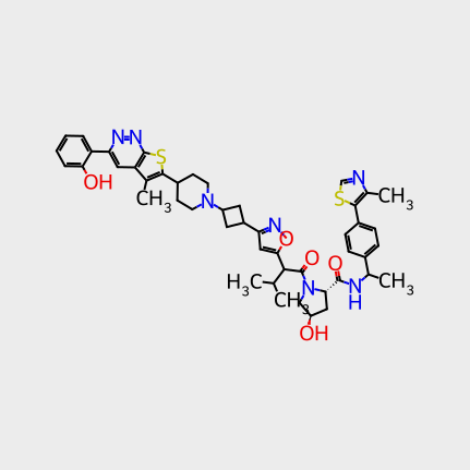 Cc1ncsc1-c1ccc(C(C)NC(=O)[C@@H]2C[C@@H](O)CN2C(=O)C(c2cc(C3CC(N4CCC(c5sc6nnc(-c7ccccc7O)cc6c5C)CC4)C3)no2)C(C)C)cc1